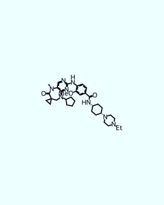 CCN1CCN([C@H]2CC[C@@H](NC(=O)c3ccc(Nc4ncc5c(n4)N(C4CCCC4)CC4(CC4)C(=O)N5C)c(OC)c3)CC2)CC1